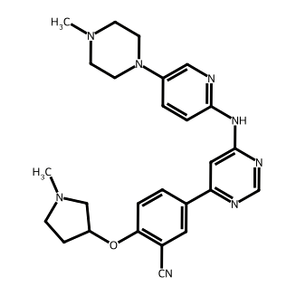 CN1CCN(c2ccc(Nc3cc(-c4ccc(OC5CCN(C)C5)c(C#N)c4)ncn3)nc2)CC1